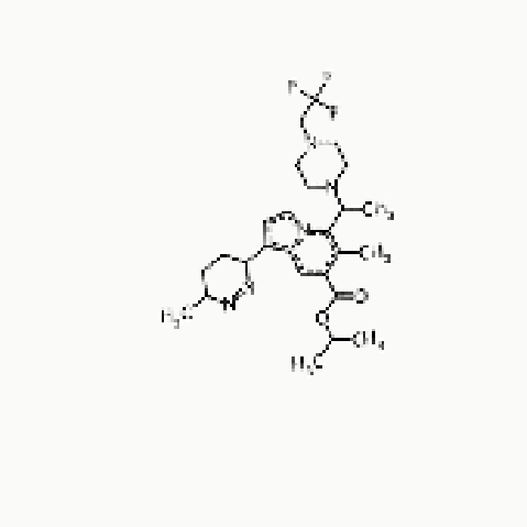 Cc1c(C(=O)OC(C)C)cc2c(C3CCC(C)N=N3)ccn2c1C(C)N1CCN(CC(F)(F)F)CC1